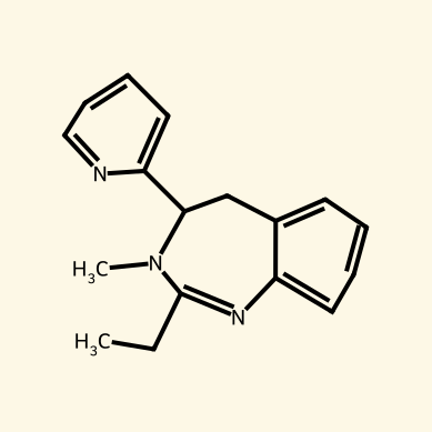 CCC1=Nc2ccccc2CC(c2ccccn2)N1C